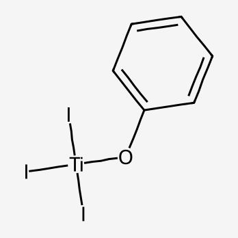 [I][Ti]([I])([I])[O]c1ccccc1